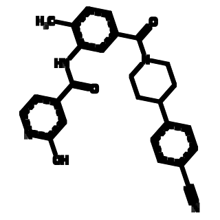 Cc1ccc(C(=O)N2CCC(c3ccc(C#N)cc3)CC2)cc1NC(=O)c1ccnc(O)c1